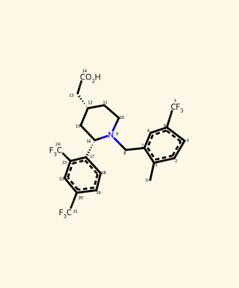 Cc1ccc(C(F)(F)F)cc1CN1CC[C@@H](CC(=O)O)C[C@H]1c1ccc(C(F)(F)F)cc1C(F)(F)F